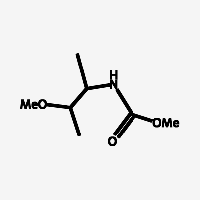 COC(=O)NC(C)C(C)OC